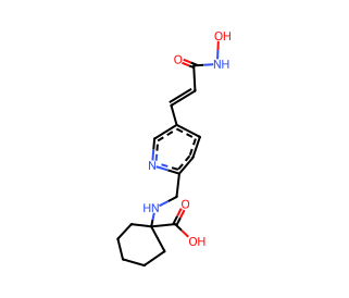 O=C(C=Cc1ccc(CNC2(C(=O)O)CCCCC2)nc1)NO